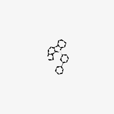 c1ccc(-c2cccc(-n3c4ccccc4c4ccc5occc5c43)c2)cc1